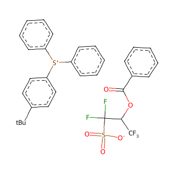 CC(C)(C)c1ccc([S+](c2ccccc2)c2ccccc2)cc1.O=C(OC(C(F)(F)F)C(F)(F)S(=O)(=O)[O-])c1ccccc1